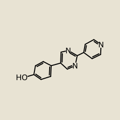 Oc1ccc(-c2cnc(-c3ccncc3)nc2)cc1